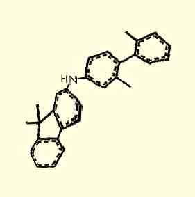 Cc1ccccc1-c1ccc(Nc2ccc3c(c2)C(C)(C)c2ccccc2-3)cc1C